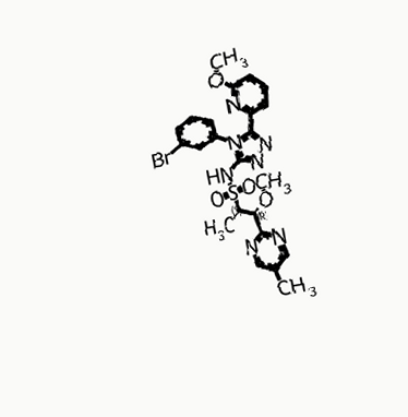 COc1cccc(-c2nnc(NS(=O)(=O)[C@@H](C)[C@H](OC)c3ncc(C)cn3)n2-c2cccc(Br)c2)n1